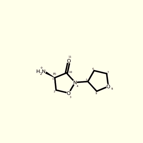 N[C@@H]1CON(C2CCOC2)C1=O